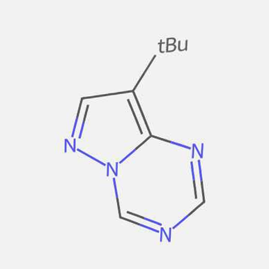 CC(C)(C)c1cnn2cncnc12